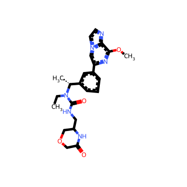 CCN(C(=O)NCC1COCC(=O)N1)[C@H](C)c1cccc(-c2cn3ccnc3c(OC)n2)c1